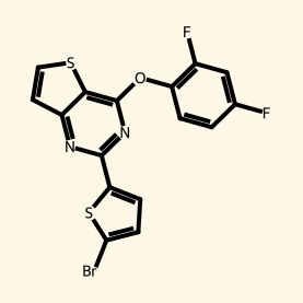 Fc1ccc(Oc2nc(-c3ccc(Br)s3)nc3ccsc23)c(F)c1